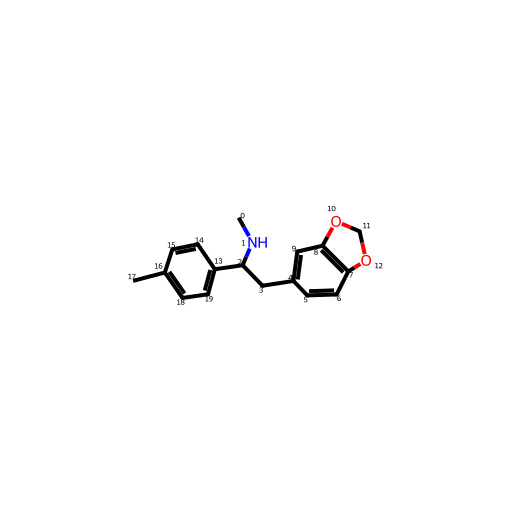 CNC(Cc1ccc2c(c1)OCO2)c1ccc(C)cc1